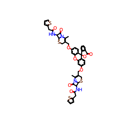 CC1=C(COc2ccc3c(c2)Oc2cc(OCC4=C(C)N5C(=O)C(NC(=O)Cc6cccs6)C5SC4)ccc2C32OC(=O)c3ccccc32)CSC2C(NC(=O)Cc3cccs3)C(=O)N12